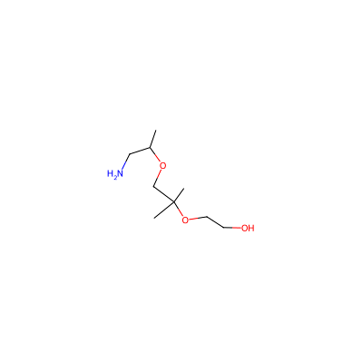 CC(CN)OCC(C)(C)OCCO